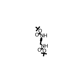 CC(C)(C)OC(=O)NC#CCNC(=O)OC(C)(C)C